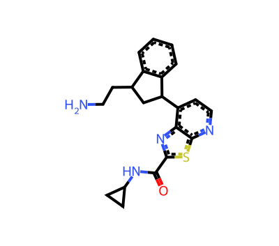 NCCC1CC(c2ccnc3sc(C(=O)NC4CC4)nc23)c2ccccc21